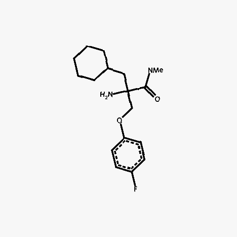 CNC(=O)C(N)(COc1ccc(F)cc1)CC1CCCCC1